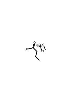 CC(=O)O.CCCC(=O)O.CCCCO